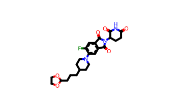 O=C1CCC(N2C(=O)c3cc(F)c(N4CCC(CCCC5OCCO5)CC4)cc3C2=O)C(=O)N1